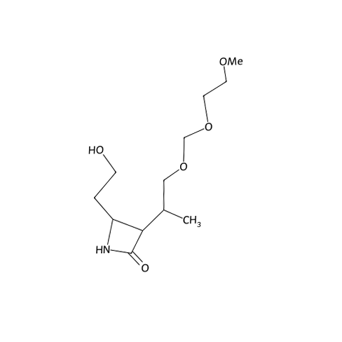 COCCOCOCC(C)C1C(=O)NC1CCO